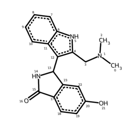 CN(C)Cc1[nH]c2ccccc2c1C1NC(=O)c2ccc(O)cc21